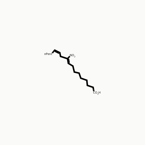 CCCCC/C=C\C/C(=C/CCCCCCCC(=O)O)[N+](=O)[O-]